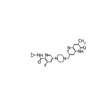 Cc1cc2ncc(CN3CCN(c4cnc(C(=O)NC5CC5)c(F)c4)CC3)cc2[nH]c1=O